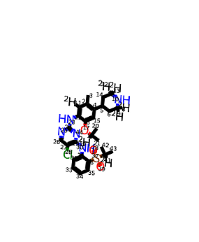 [2H]c1c(C)c(C2CC([2H])([2H])NC([2H])([2H])C2)cc(OC([2H])(C)C)c1Nc1ncc(Cl)c(Nc2ccccc2S(=O)(=O)C([2H])(C)C)n1